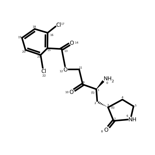 N[C@@H](C[C@@H]1CCNC1=O)C(=O)COC(=O)c1c(Cl)cccc1Cl